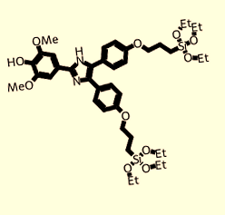 CCO[Si](CCCOc1ccc(-c2nc(-c3cc(OC)c(O)c(OC)c3)[nH]c2-c2ccc(OCCC[Si](OCC)(OCC)OCC)cc2)cc1)(OCC)OCC